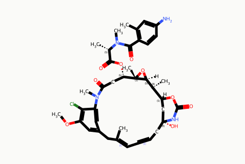 COc1cc2cc(c1Cl)N(C)C(=O)C[C@H](OC(=O)[C@H](C)N(C)C(=O)c1ccc(N)cc1C)[C@]1(C)O[C@H]1[C@H](C)[C@@H]1C[C@](O)(C/C=C/C=C(\C)C2)NC(=O)O1